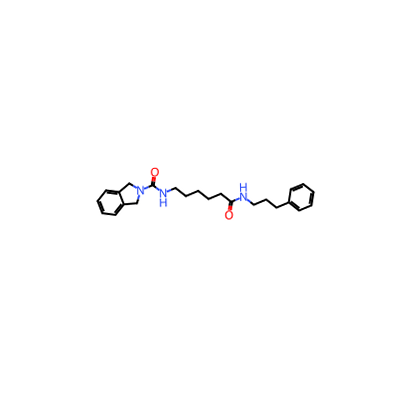 O=C(CCCCCNC(=O)N1Cc2ccccc2C1)NCCCc1ccccc1